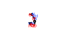 COc1ccnc(NCc2cnc(-c3ccc(CC(NC(=O)c4c(C)cc(C)cc4C)C(=O)O)cc3)o2)c1